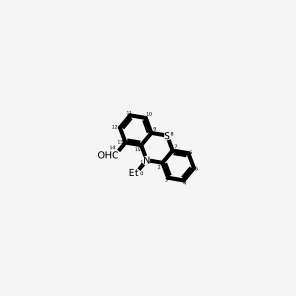 CCN1c2ccccc2Sc2cccc(C=O)c21